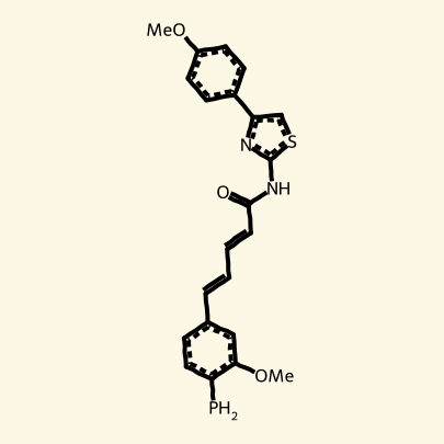 COc1ccc(-c2csc(NC(=O)/C=C/C=C/c3ccc(P)c(OC)c3)n2)cc1